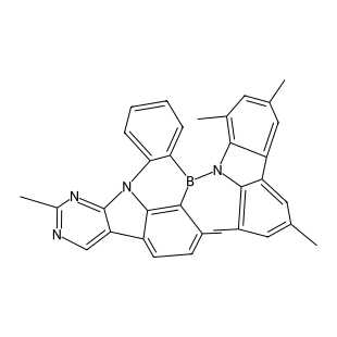 Cc1cc(C)c2c(c1)c1cc(C)cc(C)c1n2B1c2ccccc2-n2c3nc(C)ncc3c3ccc(C)c1c32